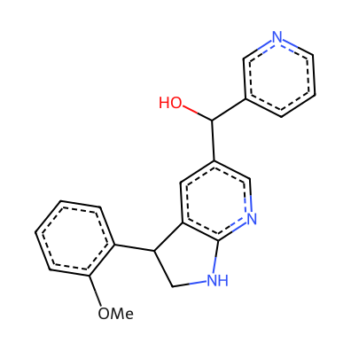 COc1ccccc1C1CNc2ncc(C(O)c3cccnc3)cc21